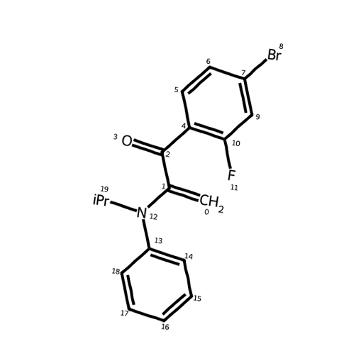 C=C(C(=O)c1ccc(Br)cc1F)N(c1ccccc1)C(C)C